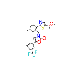 COC(C)c1cnc(-c2ccc(C)cc2CN2C(=O)O[C@H](c3cc(C)cc(C(F)(F)F)c3)[C@@H]2C)s1